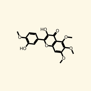 COc1ccc(-c2oc3cc(OC)c(OC)c(OC)c3c(=O)c2O)cc1O